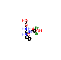 O=C(N/N=C/c1cc(Br)c(O)c(Br)c1O)C(CCNCCOCCO)Nc1ccc2ccccc2c1